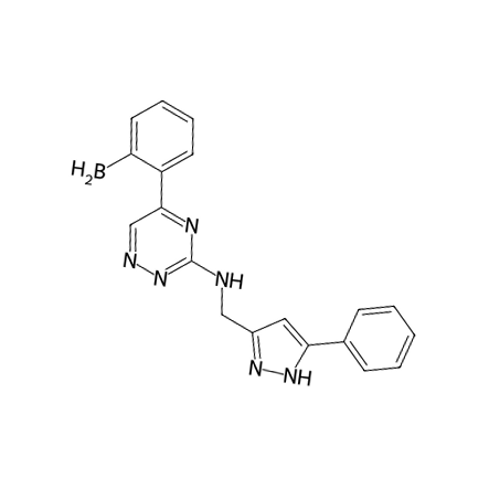 Bc1ccccc1-c1cnnc(NCc2cc(-c3ccccc3)[nH]n2)n1